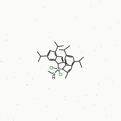 CC1=Cc2c(C(C)C)cc(C(C)C)cc2[CH]1[Zr]([Cl])([Cl])([CH]1C(C)=Cc2c(C(C)C)cc(C(C)C)cc21)[SiH](C)C